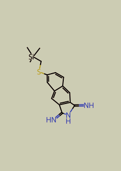 C[Si](C)(C)CSc1ccc2cc3c(cc2c1)C(=N)NC3=N